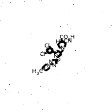 CN1CCN(c2ncc(Oc3cc(CN4CC[C@H]5[C@H](C(=O)O)C5(C#N)CC4)cc(-c4cc(Cl)cc(Cl)c4)n3)cn2)CC1